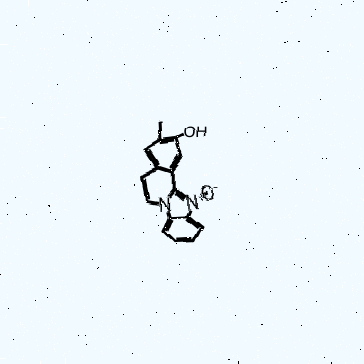 Cc1cc2ccn3c4ccccc4[n+]([O-])c3c2cc1O